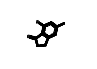 Cc1cc(F)c2c(c1)CCC2=O